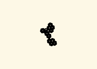 c1cc2ccc3ccc(-c4ccc5c(-c6ccc7ccc8cccc9ccc6c7c89)c6oc7ccccc7c6cc5c4)c4ccc(c1)c2c34